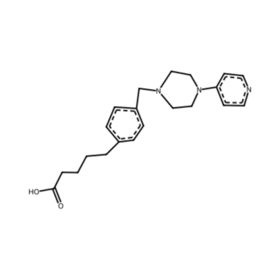 O=C(O)CCCCc1ccc(CN2CCN(c3ccncc3)CC2)cc1